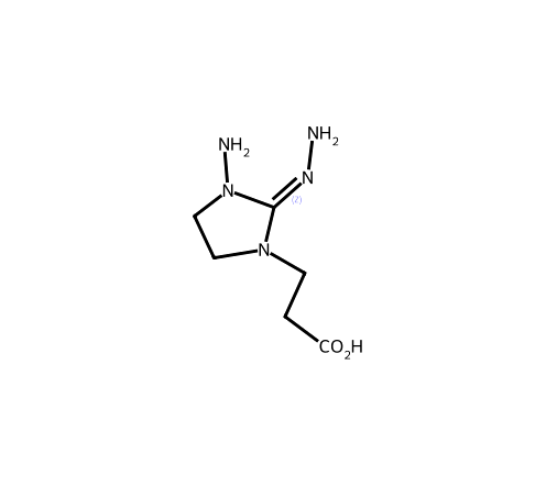 N/N=C1\N(N)CCN1CCC(=O)O